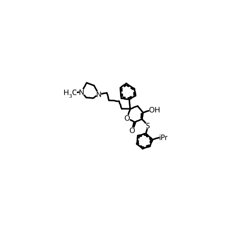 CC(C)c1ccccc1SC1=C(O)CC(CCCCN2CCN(C)CC2)(c2ccccc2)OC1=O